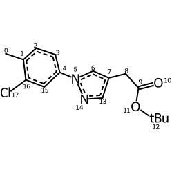 Cc1ccc(-n2cc(CC(=O)OC(C)(C)C)cn2)cc1Cl